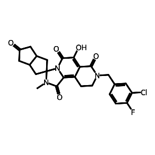 CN1C(=O)c2c3c(c(O)c(=O)n2C12CC1CC(=O)CC1C2)C(=O)N(Cc1ccc(F)c(Cl)c1)CC3